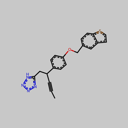 CC#CC(Cc1nnn[nH]1)c1ccc(OCc2ccc3sccc3c2)cc1